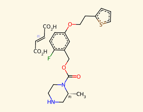 C[C@@H]1CNCCN1C(=O)OCc1cc(OCCc2cccs2)ccc1F.O=C(O)/C=C/C(=O)O